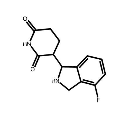 O=C1CCC(C2NCc3c(F)cccc32)C(=O)N1